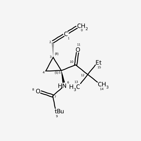 C=C=C[C@H]1C[C@@]1(NC(=O)C(C)(C)C)C(=O)C(C)(C)CC